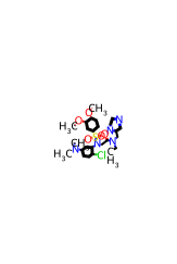 CCN(Cc1cnccn1)C(=O)CN(c1cc(N(C)C)ccc1Cl)S(=O)(=O)c1ccc(OC)c(OC)c1